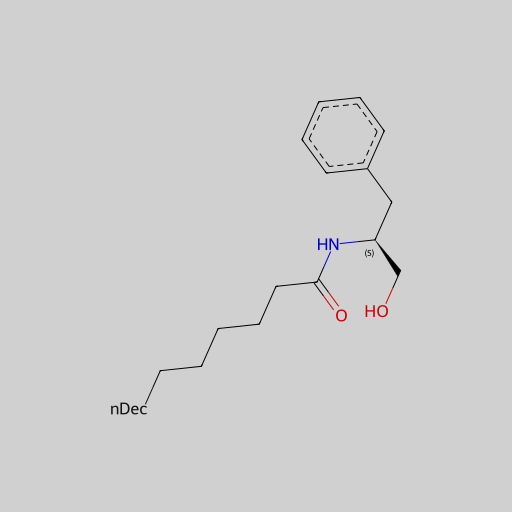 CCCCCCCCCCCCCCCC(=O)N[C@H](CO)Cc1ccccc1